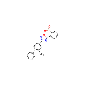 O=[SH](=O)c1ccccc1-c1nc(-c2ccc(-c3ccccc3)c(C(F)(F)F)c2)no1